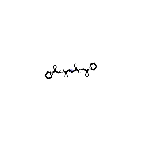 O=C(/C=C/C(=O)OCC(=O)N1CCCC1)OCC(=O)N1CCCC1